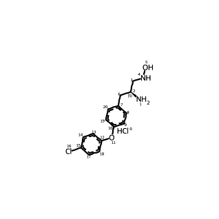 Cl.N[C@H](CNO)Cc1ccc(Oc2ccc(Cl)cc2)cc1